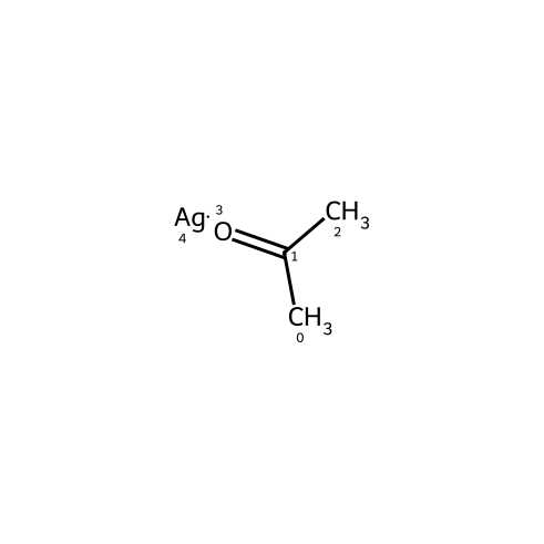 CC(C)=O.[Ag]